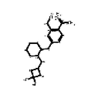 C=C(C)c1ccc(CC2CCCCC2CC2CC(F)(F)C2)cc1CC